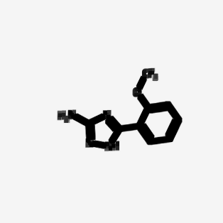 Nc1n[nH]c(-c2ccccc2OC(F)(F)F)n1